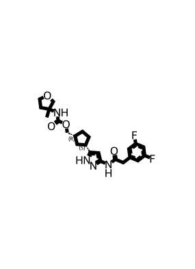 CC1(NC(=O)OC[C@@H]2CC[C@H](c3cc(NC(=O)Cc4cc(F)cc(F)c4)n[nH]3)C2)CCOC1